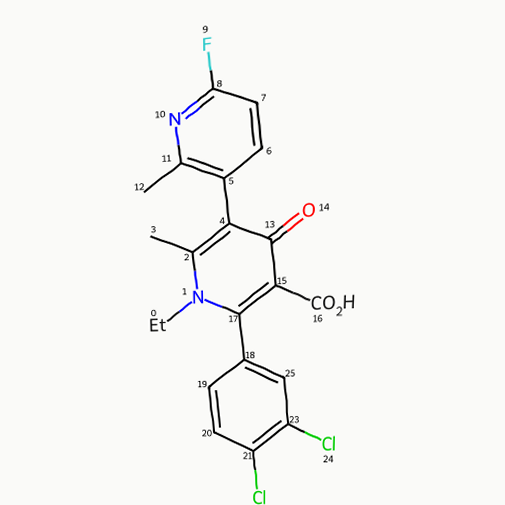 CCn1c(C)c(-c2ccc(F)nc2C)c(=O)c(C(=O)O)c1-c1ccc(Cl)c(Cl)c1